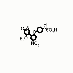 CCOc1cc(=O)n(C)cc1-c1cc([N+](=O)[O-])ccc1OC1CCC(NC(=O)O)CC1